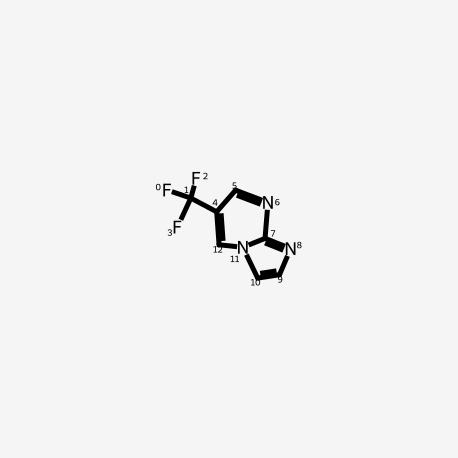 FC(F)(F)c1cnc2nccn2c1